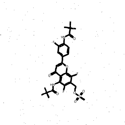 CC(C)(C)C(=O)Nc1ccc(-c2cc(=O)c3c(NC(=O)C(C)(C)C)c(F)c(COS(C)(=O)=O)c(F)c3o2)cc1F